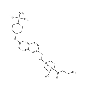 CCOC(=O)C12CCC(NCc3ccc4cc(OC5CCC(C(C)(C)C)CC5)ccc4c3)(CC1)CC2O